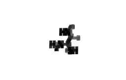 CN/C(C)=C(\N)S